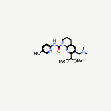 COC(OC)c1nc2c(cc1CN(C)C)CCCN2C(=O)Nc1ccc(C#N)cn1